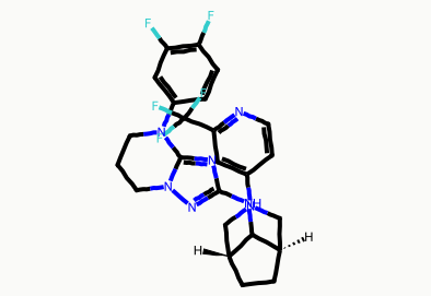 Fc1ccc(N2CCCn3nc(NC4[C@@H]5CC[C@@H]4CN(c4ccnc(C(F)(F)F)c4)C5)nc32)cc1F